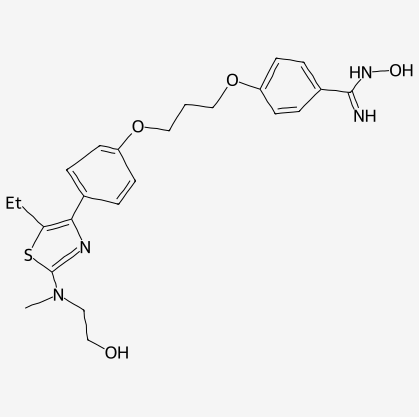 CCc1sc(N(C)CCO)nc1-c1ccc(OCCCOc2ccc(C(=N)NO)cc2)cc1